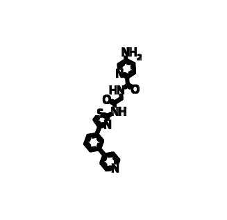 Nc1ccc(C(=O)NCC(=O)Nc2nc(-c3cccc(-c4ccncc4)c3)cs2)nc1